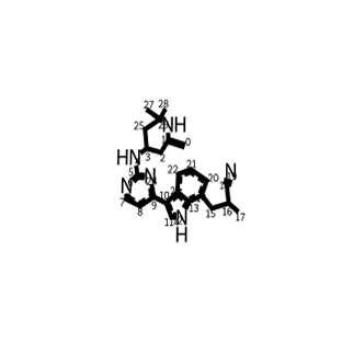 C=C1CC(Nc2nccc(-c3c[nH]c4c(CC(C)C#N)cccc34)n2)CC(C)(C)N1